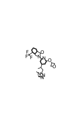 CC(Cc1nncn1C)c1cc(OC2COC2)nc(N2Cc3c(cccc3C(F)(F)F)C2=O)c1